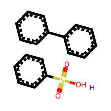 I.O=S(=O)(O)c1ccccc1.c1ccc(-c2ccccc2)cc1